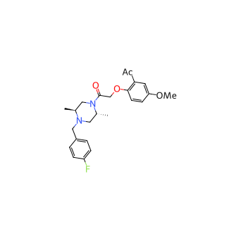 COc1ccc(OCC(=O)N2C[C@H](C)N(Cc3ccc(F)cc3)C[C@H]2C)c(C(C)=O)c1